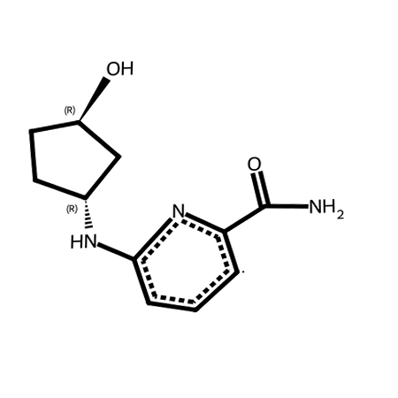 NC(=O)c1[c]ccc(N[C@@H]2CC[C@@H](O)C2)n1